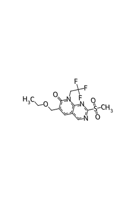 CCOCc1cc2cnc(S(C)(=O)=O)nc2n(CC(F)(F)F)c1=O